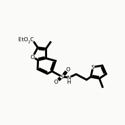 CCOC(=O)c1oc2ccc(S(=O)(=O)NCCc3sccc3C)cc2c1C